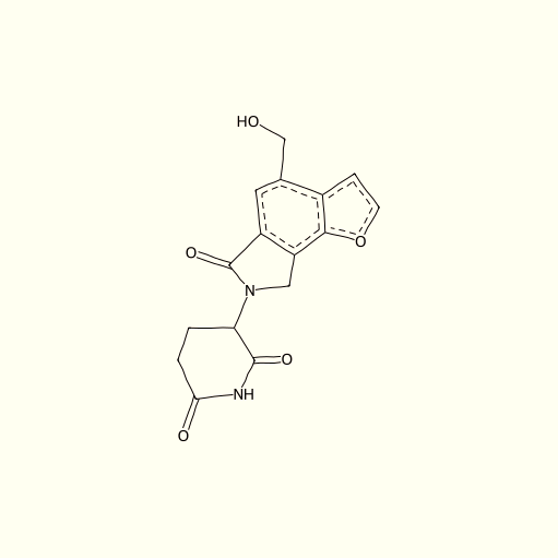 O=C1CCC(N2Cc3c(cc(CO)c4ccoc34)C2=O)C(=O)N1